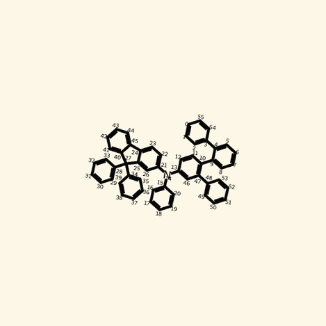 c1ccc(-c2ccccc2-c2ccc(N(c3ccccc3)c3ccc4c(c3)C(c3ccccc3)(c3ccccc3)c3ccccc3-4)cc2-c2ccccc2)cc1